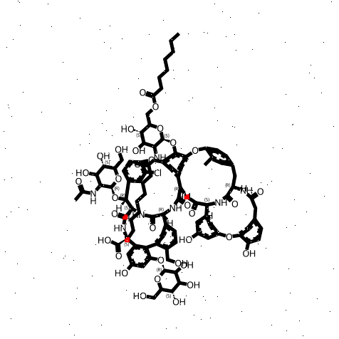 CCCCCCCCC(=O)NC1C(O)[C@H](O)C(COC(=O)CCCCCCC)O[C@H]1Oc1c2cc3cc1Oc1ccc(cc1Cl)[C@@H](O[C@@H]1OC(CO)[C@@H](O)C(O)C1NC(C)=O)[C@@H]1NC(=O)[C@H](NC(=O)[C@@H]3NC(=O)[C@H]3NC(=O)[C@@H](Cc4ccc(c(C)c4)O2)NC(=O)Cc2ccc(O)c(c2)Oc2cc(O)cc3c2)c2ccc(CO)c(c2)-c2c(O[C@H]3OC(CO)[C@@H](O)C(O)C3O)cc(O)cc2[C@@H](C(=O)O)NC1=O